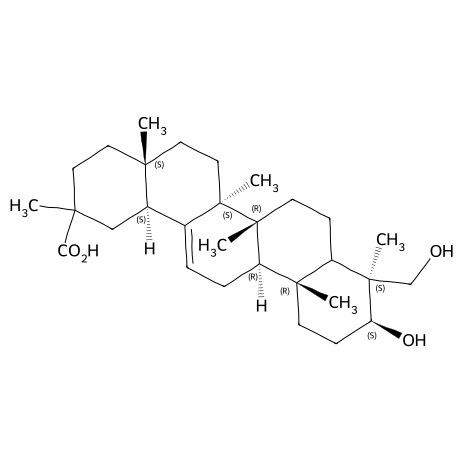 CC1(C(=O)O)CC[C@]2(C)CC[C@]3(C)C(=CC[C@@H]4[C@@]5(C)CC[C@H](O)[C@](C)(CO)C5CC[C@]43C)[C@H]2C1